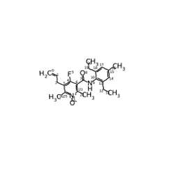 C=CCc1c(F)c(C(=O)Nc2c(CC)cc(C)cc2CC)c(C)[n+]([O-])c1C